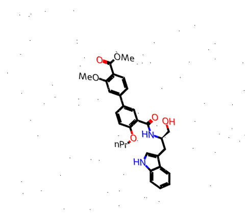 CCCOc1ccc(-c2ccc(C(=O)OC)c(OC)c2)cc1C(=O)N[C@@H](CO)Cc1c[nH]c2ccccc12